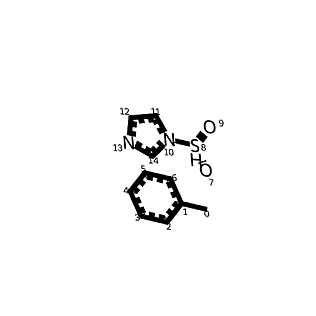 Cc1ccccc1.O=[SH](=O)n1ccnc1